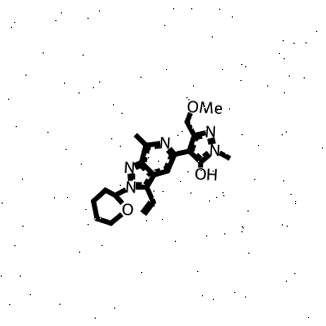 C=Cc1c2cc(-c3c(COC)nn(C)c3O)nc(C)c2nn1C1CCCCO1